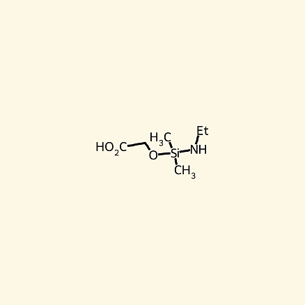 CCN[Si](C)(C)OCC(=O)O